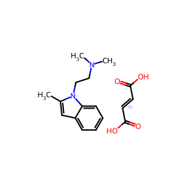 Cc1cc2ccccc2n1CCN(C)C.O=C(O)/C=C/C(=O)O